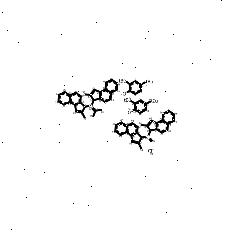 CC(C)(C)c1ccc([O-])c(C(C)(C)C)c1.CC(C)(C)c1ccc([O-])c(C(C)(C)C)c1.CC1=Cc2c(ccc3ccccc23)[CH]1[Zr](=[C](C)C)[CH]1C(C)=Cc2c1ccc1ccccc21.[CH2]=[Zr]([CH]1C(C)=Cc2c1ccc1ccccc21)[CH]1C(C)=Cc2c1ccc1ccccc21.[Cl-]